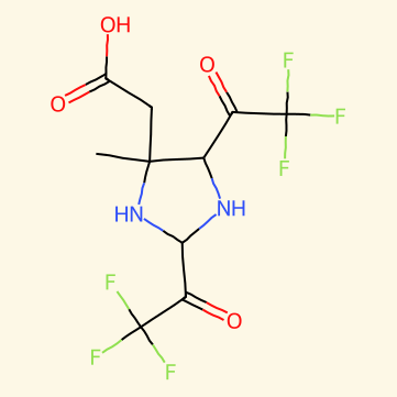 CC1(CC(=O)O)NC(C(=O)C(F)(F)F)NC1C(=O)C(F)(F)F